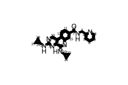 O=C(NCc1ccccn1)c1c#cc2c(c1)nc(NC1CC1)c1nc(NC3CC3)ncc12